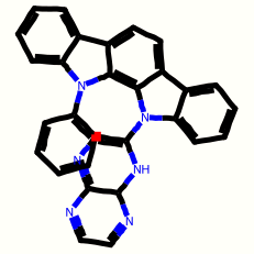 C1=NC2=NC=C(n3c4ccccc4c4ccc5c6ccccc6n(-c6ccccc6)c5c43)NC2N=C1